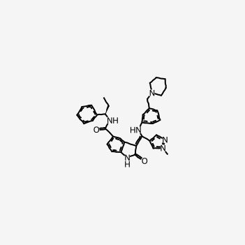 CC[C@@H](NC(=O)c1ccc2c(c1)C(=C(Nc1cccc(CN3CCCCC3)c1)c1cnn(C)c1)C(=O)N2)c1ccccc1